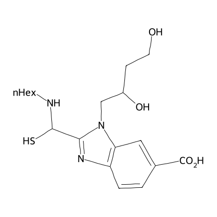 CCCCCCNC(S)c1nc2ccc(C(=O)O)cc2n1CC(O)CCO